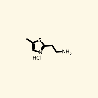 Cc1cnc(CCN)s1.Cl